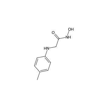 Cc1ccc(NCC(=O)NO)cc1